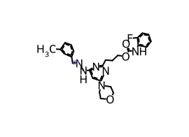 Cc1cccc(/C=N/Nc2cc(N3CCOCC3)nc(CCCOC(=O)Nc3ccccc3F)n2)c1